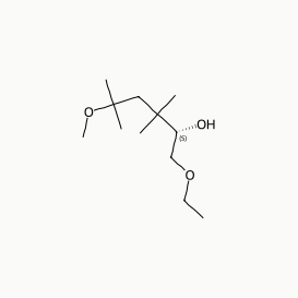 CCOC[C@@H](O)C(C)(C)CC(C)(C)OC